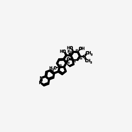 CN(C)[C@H]1C[C@@]23CC[C@@]4(O2)C(=CC[C@]2(C)C(c5ccc6nnccc6c5)=CCC24)C(O)C3(F)[C@@H](O)[C@@H]1O